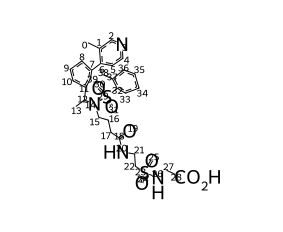 Cc1cnccc1-c1cccc(C(C)N(CCCC(=O)NCCS(=O)(=O)NCC(=O)O)S(=O)(=O)c2ccccc2C)c1